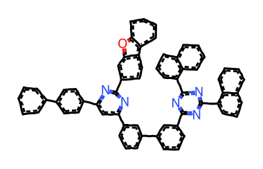 c1ccc(-c2ccc(-c3cc(-c4cccc(-c5cccc(-c6nc(-c7cccc8ccccc78)nc(-c7cccc8ccccc78)n6)c5)c4)nc(-c4ccc5c(c4)oc4ccccc45)n3)cc2)cc1